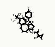 O=C(N[C@@H]1CC[C@@]2(S(=O)(=O)c3ccc(F)cc3)c3ccc(C(F)(C(F)(F)F)C(F)(F)F)cc3CCC[C@@H]12)C1(O)CC1